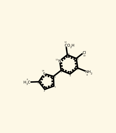 Cc1ccc(-c2cc(N)c(Cl)c(C(=O)O)n2)s1